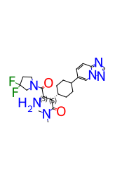 CN(C)C(=O)[C@@H](C1CCC(c2ccc3ncnn3c2)CC1)[C@H](N)C(=O)N1CCC(F)(F)C1